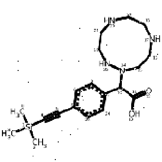 C[Si](C)(C)C#Cc1ccc(C(C(=O)O)N2CCNCCNCCN2)cc1